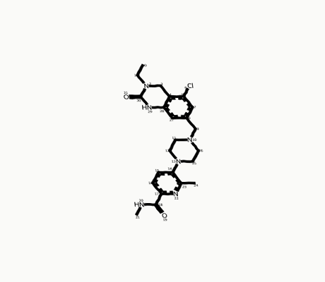 CCN1Cc2c(Cl)cc(CN3CCN(c4ccc(C(=O)NC)nc4C)CC3)cc2NC1=O